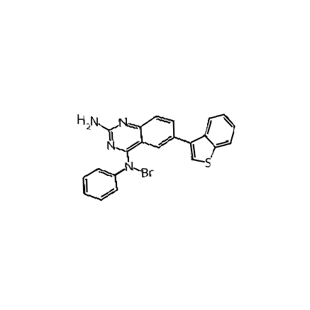 Nc1nc(N(Br)c2ccccc2)c2cc(-c3csc4ccccc34)ccc2n1